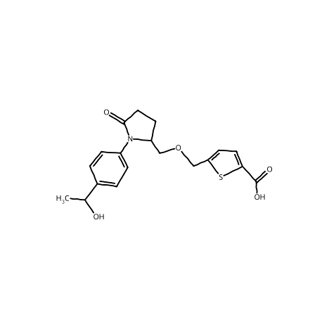 CC(O)c1ccc(N2C(=O)CCC2COCc2ccc(C(=O)O)s2)cc1